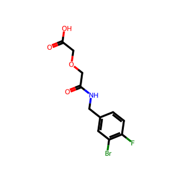 O=C(O)COCC(=O)NCc1ccc(F)c(Br)c1